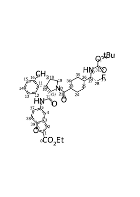 CCOC(=O)c1cc2cc(NC(=O)[C@@H]3[C@H](c4ccccc4C)CCN3C(=O)C3CCC([C@@H](CF)NC(=O)OC(C)(C)C)CC3)ccc2o1